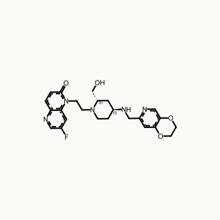 O=c1ccc2ncc(F)cc2n1CCN1CC[C@H](NCc2cc3c(cn2)OCCO3)C[C@H]1CO